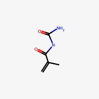 C=C(C)C(=O)[N]C(N)=O